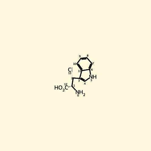 N[C@@H](Cc1c[nH]c2ccccc12)C(=O)O.[C]